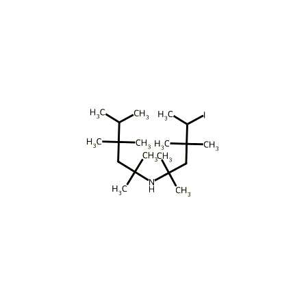 CC(C)C(C)(C)CC(C)(C)NC(C)(C)CC(C)(C)C(C)I